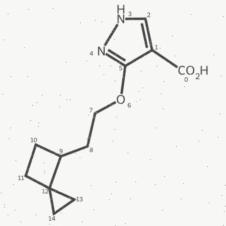 O=C(O)c1c[nH]nc1OCCC1CCC12CC2